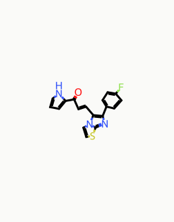 O=C(/C=C/c1c(-c2ccc(F)cc2)nc2sccn12)c1ccc[nH]1